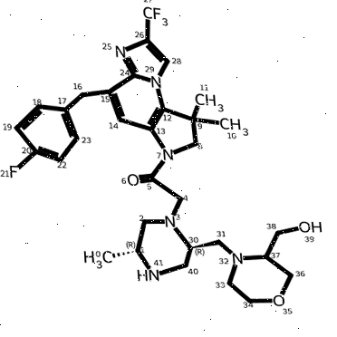 C[C@@H]1CN(CC(=O)N2CC(C)(C)c3c2cc(Cc2ccc(F)cc2)c2nc(C(F)(F)F)cn32)[C@@H](CN2CCOCC2CO)CN1